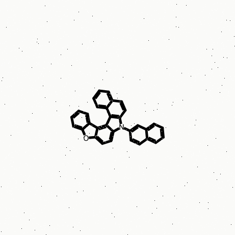 c1ccc2cc(-n3c4ccc5ccccc5c4c4c5c(ccc43)oc3ccccc35)ccc2c1